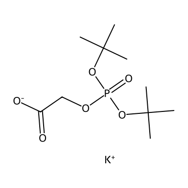 CC(C)(C)OP(=O)(OCC(=O)[O-])OC(C)(C)C.[K+]